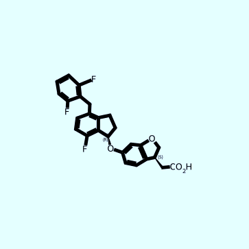 O=C(O)C[C@@H]1COc2cc(O[C@@H]3CCc4c(Cc5c(F)cccc5F)ccc(F)c43)ccc21